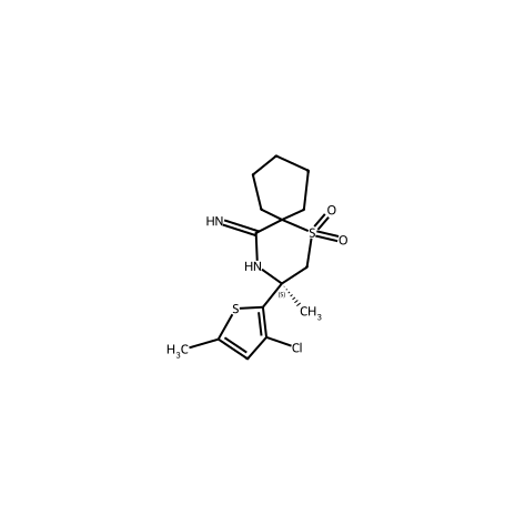 Cc1cc(Cl)c([C@]2(C)CS(=O)(=O)C3(CCCCC3)C(=N)N2)s1